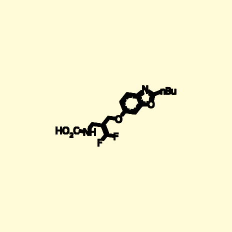 CCCCc1nc2ccc(OCC(CNC(=O)O)=C(F)F)cc2o1